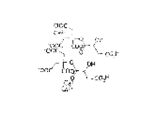 O=C([O-])CC(CC(=O)[O-])(OC(=O)C(O)CC(=O)O)C(=O)[O-].O=C([O-])CC(CC(=O)[O-])(OC(=O)C(O)CC(=O)O)C(=O)[O-].[Ca+2].[Ca+2].[Ca+2]